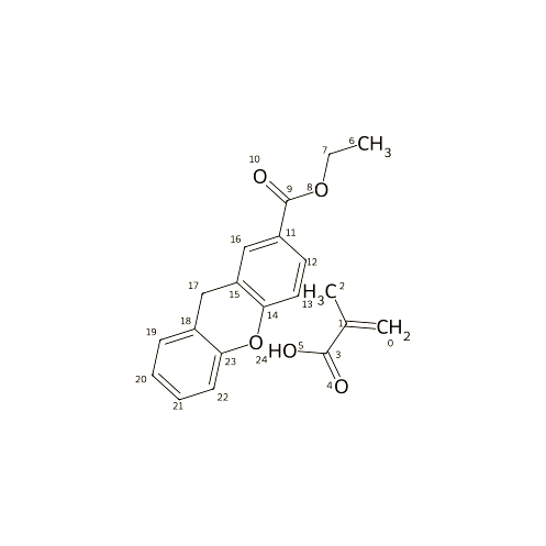 C=C(C)C(=O)O.CCOC(=O)c1ccc2c(c1)Cc1ccccc1O2